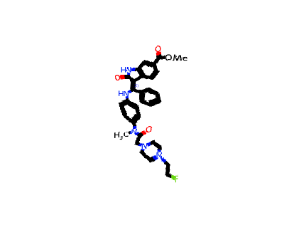 COC(=O)c1ccc2c(c1)NC(=O)/C2=C(\Nc1ccc(N(C)C(=O)CN2CCN(CCF)CC2)cc1)c1ccccc1